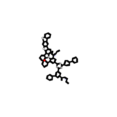 C=C/C=C\C(=C)c1cc(-c2ccccc2)cc(-c2nc(-c3ccc(-c4ccccc4)cc3)nc(-c3cc(/C(C=C)=C/C=C)c(-n4c5ccccc5c5c6oc7cc8oc9ccccc9c8cc7c6ccc54)c(-c4ccccc4)c3)n2)c1